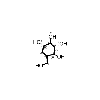 OCC1C[C@H](O)C(O)[C@H](O)[C@H]1O